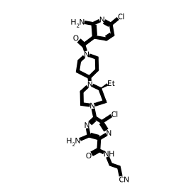 CC[C@H]1CN(c2nc(N)c(C(=O)NCCC#N)nc2Cl)CCN1C1CCN(C(=O)c2ccc(Cl)nc2N)CC1